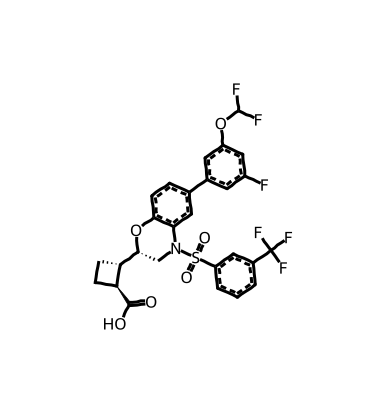 O=C(O)[C@H]1CC[C@@H]1[C@H]1CN(S(=O)(=O)c2cccc(C(F)(F)F)c2)c2cc(-c3cc(F)cc(OC(F)F)c3)ccc2O1